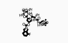 CCC[C@H](NC(=O)[C@@H]1C[C@@H](OC(=O)N2Cc3cccc(F)c3C2)CN1C(=O)[C@@H](NC(=O)N[C@H](CN(C)S(C)(=O)=O)C(C)(C)C)C(C)C)B(O)O